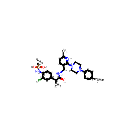 COc1ccc(N2CCN(c3nc(C(F)(F)F)ccc3CNC(=O)C(C)c3ccc(NS(C)(=O)=O)c(F)c3)CC2)cc1